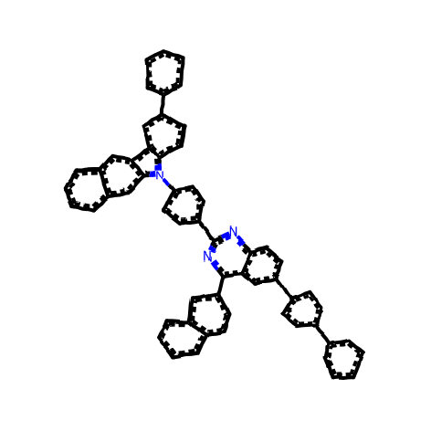 c1ccc(-c2ccc(-c3ccc4nc(-c5ccc(-n6c7ccc(-c8ccccc8)cc7c7cc8ccccc8cc76)cc5)nc(-c5ccc6ccccc6c5)c4c3)cc2)cc1